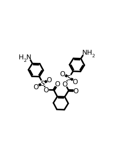 Nc1ccc(S(=O)(=O)OC(=O)C2=C(C(=O)OS(=O)(=O)c3ccc(N)cc3)CCCC2)cc1